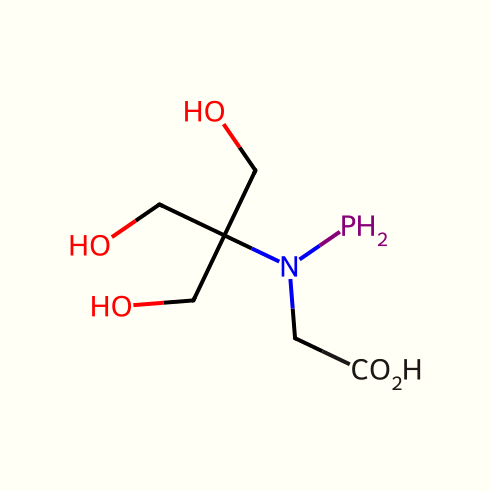 O=C(O)CN(P)C(CO)(CO)CO